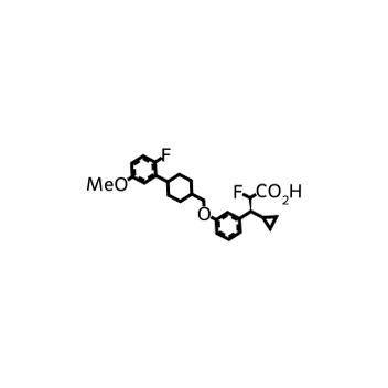 COc1ccc(F)c(C2CCC(COc3cccc([C@H](C4CC4)C(F)C(=O)O)c3)CC2)c1